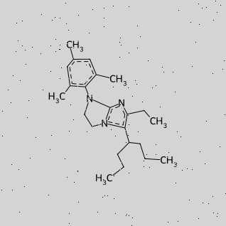 CCCC(CCC)c1c(CC)nc2n1CCN2c1c(C)cc(C)cc1C